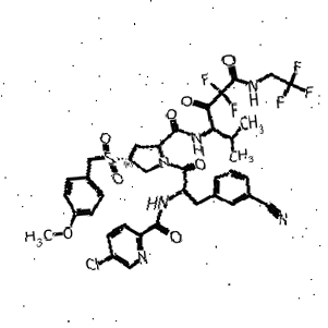 COc1ccc(CS(=O)(=O)[C@@H]2CC(C(=O)NC(C(=O)C(F)(F)C(=O)NCC(F)(F)F)C(C)C)N(C(=O)C(Cc3cccc(C#N)c3)NC(=O)c3ccc(Cl)cn3)C2)cc1